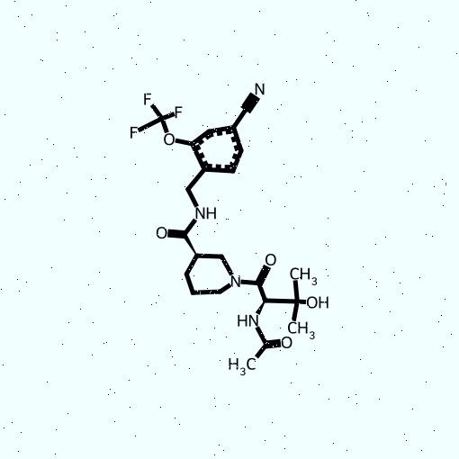 CC(=O)N[C@@H](C(=O)N1CCC[C@@H](C(=O)NCc2ccc(C#N)cc2OC(F)(F)F)C1)C(C)(C)O